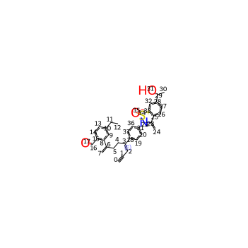 C#C/C=C(\CCC(=C)c1cc(CC)ccc1C=O)c1ccc(N2C(=C)c3ccc(C(C)O)cc3[S+]2[O-])cc1